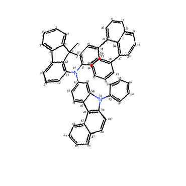 CC1(C)c2ccccc2-c2cccc(N(c3ccc(-c4cccc5cccc(-c6ccccc6)c45)cc3)c3ccc4c5c6ccccc6ccc5n(-c5ccccc5)c4c3)c21